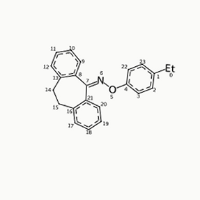 CCc1ccc(ON=C2c3ccccc3CCc3ccccc32)cc1